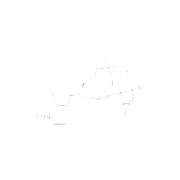 CC(C)(CCC[C@@H](CC#CC(O)(C(F)(F)F)C(F)(F)F)C1CCC2C(=O)CCC[C@@]21C)O[Si](C)(C)C